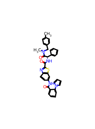 Cc1ccc(CN(C)C(=O)[C@@H](NC(=O)c2nc3ccc(NC(=O)c4ccccc4-n4cccc4)cc3s2)c2ccccc2)cc1